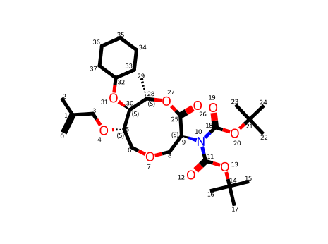 C=C(C)CO[C@H]1COC[C@H](N(C(=O)OC(C)(C)C)C(=O)OC(C)(C)C)C(=O)O[C@@H](C)[C@@H]1OC1CCCCC1